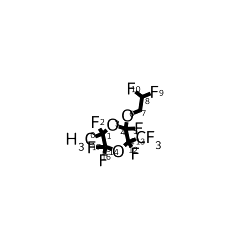 CC1(F)OC(F)(OCC(F)F)C(F)(C(F)(F)F)OC1(F)F